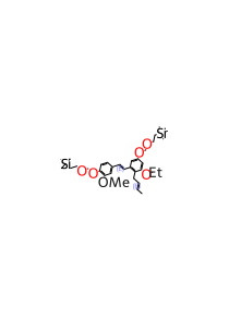 C/C=C/Cc1c(/C=C/c2ccc(OCOCC[Si](C)(C)C)c(OC)c2)cc(OCOCC[Si](C)(C)C)cc1OCC